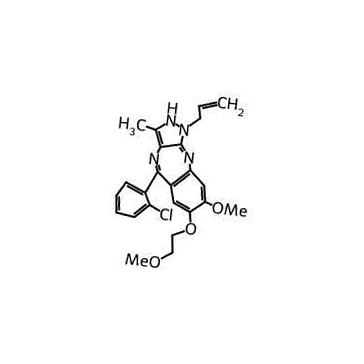 C=CCN1NC(C)=C2N=C(c3ccccc3Cl)c3cc(OCCOC)c(OC)cc3N=C21